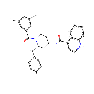 O=C(N[C@H]1CCN(C(=O)c2cc(C(F)(F)F)cc(C(F)(F)F)c2)[C@H](Cc2ccc(Cl)cc2)C1)c1ccnc2ccccc12